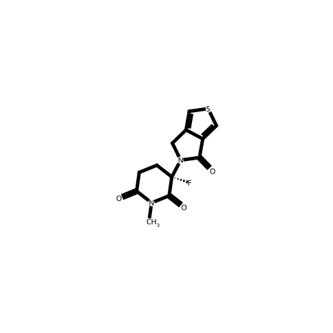 CN1C(=O)CC[C@@](F)(N2Cc3cscc3C2=O)C1=O